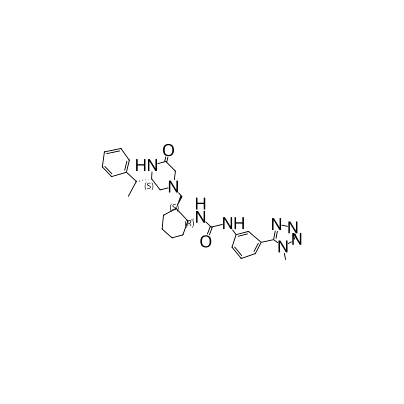 CC(c1ccccc1)[C@H]1CN(C[C@@H]2CCCC[C@H]2NC(=O)Nc2cccc(-c3nnnn3C)c2)CC(=O)N1